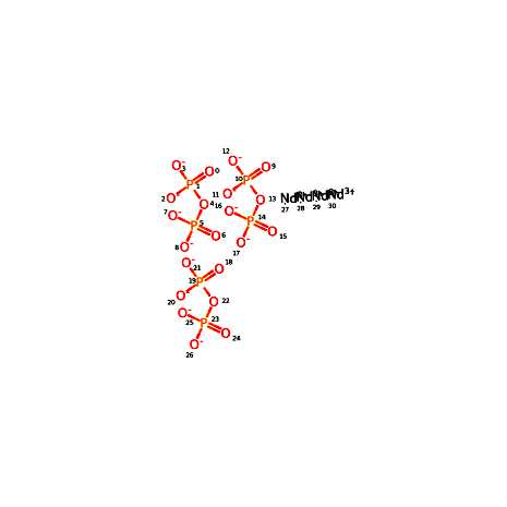 O=P([O-])([O-])OP(=O)([O-])[O-].O=P([O-])([O-])OP(=O)([O-])[O-].O=P([O-])([O-])OP(=O)([O-])[O-].[Nd+3].[Nd+3].[Nd+3].[Nd+3]